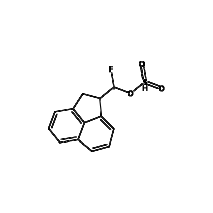 O=[SH](=O)O[C](F)C1Cc2cccc3cccc1c23